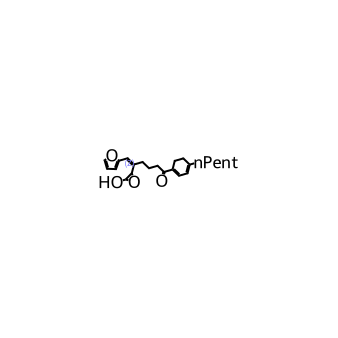 CCCCCC1=CC=C(C(=O)CCC/C(=C/c2ccco2)C2OC2O)CC1